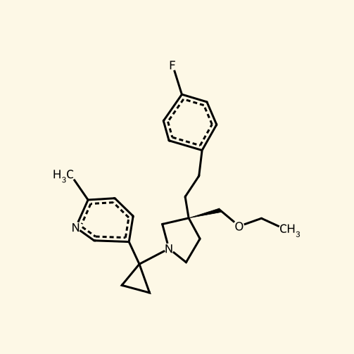 CCOC[C@@]1(CCc2ccc(F)cc2)CCN(C2(c3ccc(C)nc3)CC2)C1